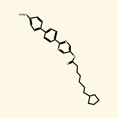 CCCCCCCc1ccc(-c2ccc(-c3ncc(OC(=O)CCCCCCC4CCCC4)cn3)cc2)cc1